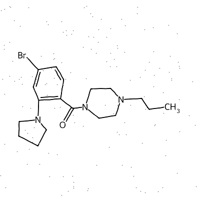 CCCN1CCN(C(=O)c2ccc(Br)cc2N2CCCC2)CC1